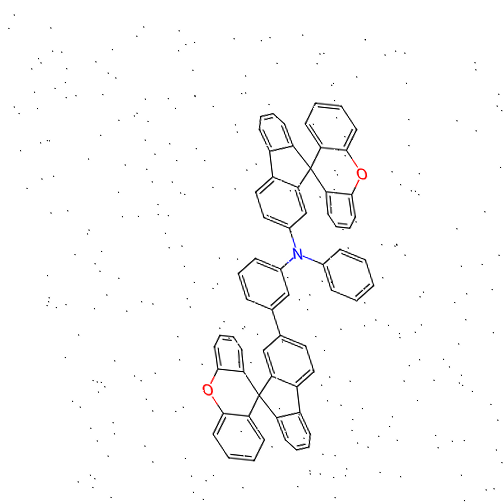 c1ccc(N(c2cccc(-c3ccc4c(c3)C3(c5ccccc5Oc5ccccc53)c3ccccc3-4)c2)c2ccc3c(c2)C2(c4ccccc4Oc4ccccc42)c2ccccc2-3)cc1